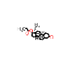 CCC(=O)O[C@H]1CC[C@H]2[C@@H]3CCC4=CC(=O)CC[C@@H]4[C@H]3CC[C@]12CC